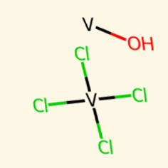 [Cl][V]([Cl])([Cl])[Cl].[OH][V]